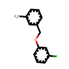 Fc1cc[c]c(OCc2cccc(C(F)(F)F)c2)c1